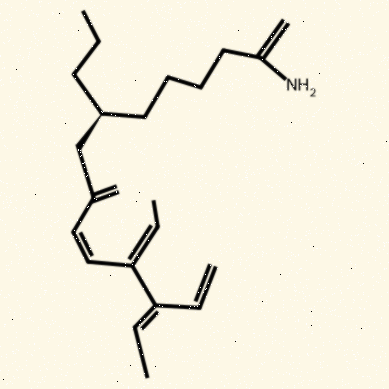 C=CC(=C\C)/C(/C=C\C(=C)C[C@@H](CCC)CCCCC(=C)N)=C/C